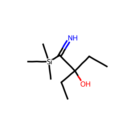 CCC(O)(CC)C(=N)[Si](C)(C)C